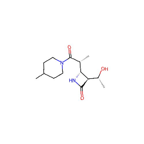 CC1CCN(C(=O)[C@H](C)[C@H]2NC(=O)[C@@H]2[C@@H](C)O)CC1